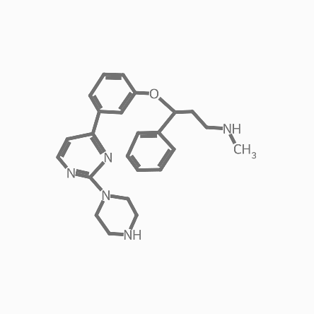 CNCCC(Oc1cccc(-c2ccnc(N3CCNCC3)n2)c1)c1ccccc1